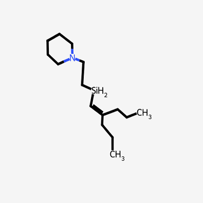 CCCC(=C[SiH2]CCN1CCCCC1)CCC